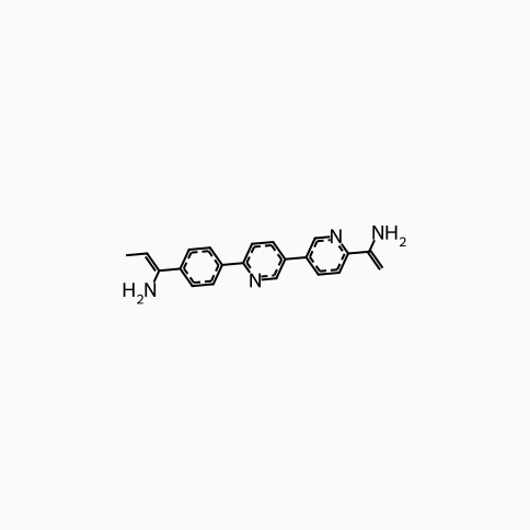 C=C(N)c1ccc(-c2ccc(-c3ccc(C(N)=CC)cc3)nc2)cn1